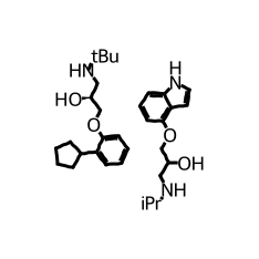 CC(C)(C)NC[C@H](O)COc1ccccc1C1CCCC1.CC(C)NCC(O)COc1cccc2[nH]ccc12